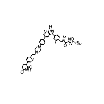 Cc1cc(-c2n[nH]c3ncc(-c4ccc(N5CCN(CCc6ccc(C7CCC(=O)NC7=O)cn6)CC5)cc4)cc23)ccc1CNC(=O)c1noc(C(C)(C)C)n1